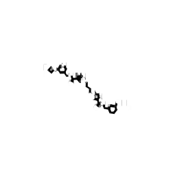 Cc1cccc(CNC(=O)c2cn(CCCCn3cc(C(=O)NCc4cncc(N5CC(F)(F)C5)c4)nn3)nn2)c1